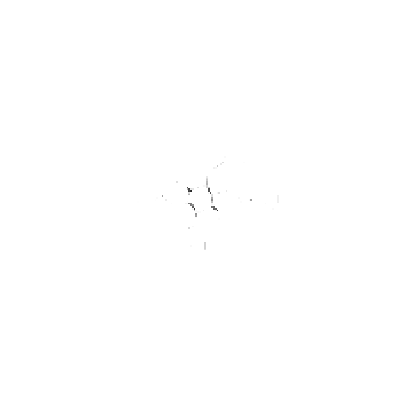 O=C(O)CSC1=C(SCC(=O)O)C(=O)C(SCC(=O)O)=C(SCC(=O)O)C1=O